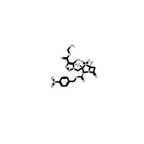 CCOC(=O)c1nnn(C[C@@]2(C)[C@H](C(=O)OCc3ccc([N+](=O)[O-])cc3)N3C(=O)C[C@@H]3S2(=O)=O)c1C